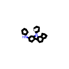 c1ccc(Nc2ccc3c4ccc5ccccc5c4n(-c4ccccc4)c3c2)cc1